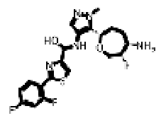 Cn1ncc(NC(O)c2csc(-c3ccc(F)cc3F)n2)c1[C@@H]1CC[C@@H](N)[C@H](F)CO1